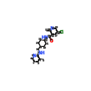 Cc1cccnc1NCC1CCC(NC(=O)c2cc(Cl)cnc2C)CC1